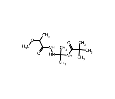 COC(C)C(=O)NNC(C)(C)NC(=O)C(C)(C)C